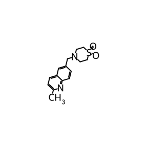 Cc1ccc2cc(CN3CCS(=O)(=O)CC3)ccc2n1